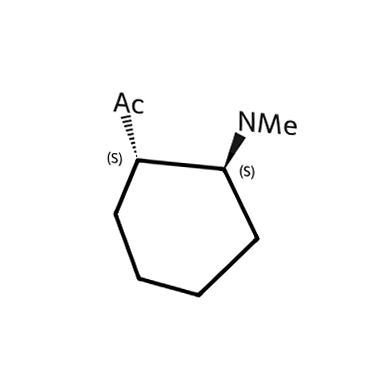 CN[C@H]1CCCC[C@@H]1C(C)=O